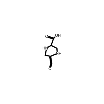 O=C=C1CNC(C(=O)O)CN1